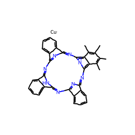 Cc1c(C)c(C)c2c3nc4nc(nc5[nH]c(nc6nc(nc([nH]3)c2c1C)-c1ccccc1-6)c1ccccc51)-c1ccccc1-4.[Cu]